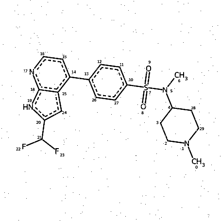 CN1CCC(N(C)S(=O)(=O)c2ccc(-c3ccnc4[nH]c(C(F)F)cc34)cc2)CC1